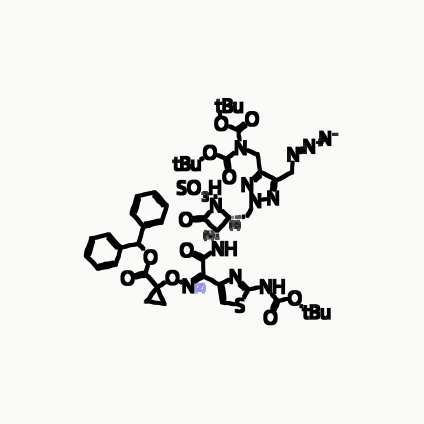 CC(C)(C)OC(=O)Nc1nc(/C(=N/OC2(C(=O)OC(c3ccccc3)c3ccccc3)CC2)C(=O)N[C@@H]2C(=O)N(S(=O)(=O)O)[C@@H]2Cn2nc(CN=[N+]=[N-])c(CN(C(=O)OC(C)(C)C)C(=O)OC(C)(C)C)n2)cs1